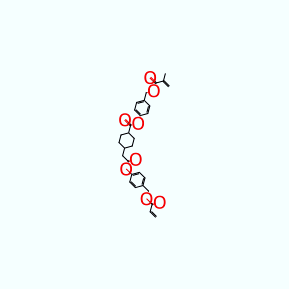 C=CC(=O)OCc1ccc(OC(=O)CC2CCC(C(=O)Oc3ccc(COC(=O)C(=C)C)cc3)CC2)cc1